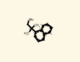 CC(C)(C)CC(C)(C)c1cc[c]c2ccccc12